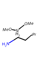 CC(C)CCN.CO[SiH2]OC